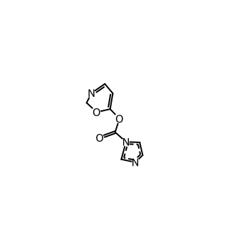 O=C(OC1=CC=NCO1)n1ccnc1